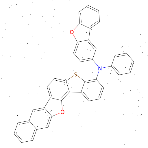 c1ccc(N(c2ccc3oc4ccccc4c3c2)c2cccc3c2sc2ccc4c5cc6ccccc6cc5oc4c23)cc1